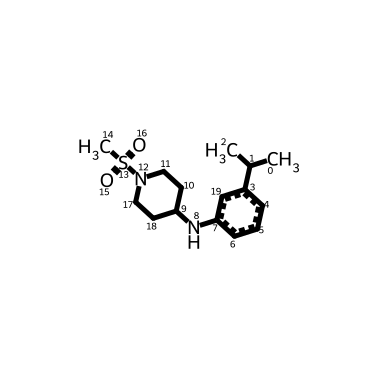 CC(C)c1cccc(NC2CCN(S(C)(=O)=O)CC2)c1